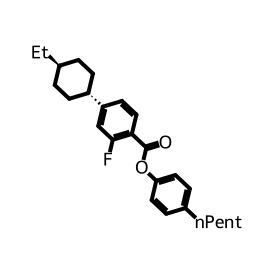 CCCCCc1ccc(OC(=O)c2ccc([C@H]3CC[C@H](CC)CC3)cc2F)cc1